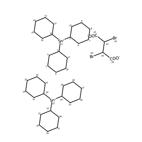 C1CC[CH]([Sn+]([CH]2CCCCC2)[CH]2CCCCC2)CC1.C1CC[CH]([Sn+]([CH]2CCCCC2)[CH]2CCCCC2)CC1.O=C([O-])C(Br)C(Br)C(=O)[O-]